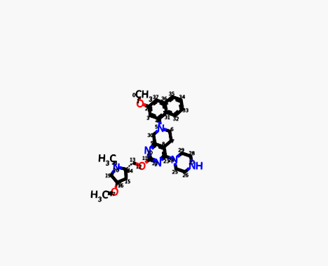 COc1cc(N2CCc3c(nc(OC[C@@H]4C[C@@H](OC)CN4C)nc3N3CCNCC3)C2)c2ccccc2c1